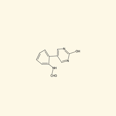 O=CNc1ccccc1-c1cnc(O)nc1